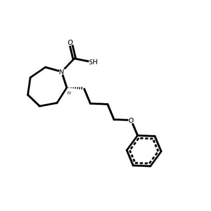 O=C(S)N1CCCCC[C@H]1CCCCOc1ccccc1